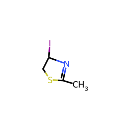 CC1=NC(I)CS1